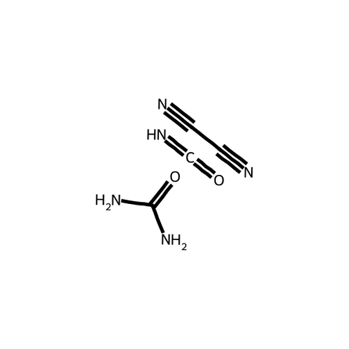 N#CC#N.N=C=O.NC(N)=O